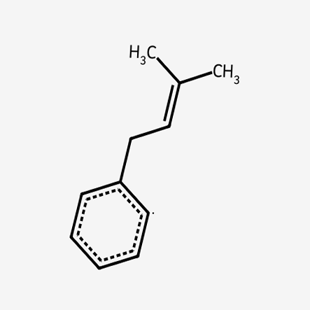 CC(C)=CCc1[c]cccc1